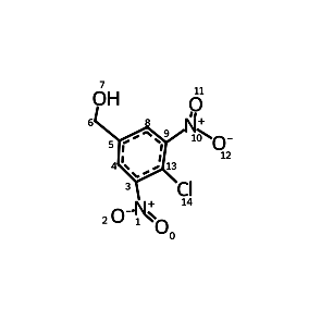 O=[N+]([O-])c1cc(CO)cc([N+](=O)[O-])c1Cl